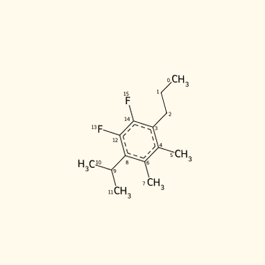 CCCc1c(C)c(C)c(C(C)C)c(F)c1F